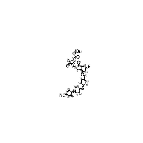 CC(C)(C)OC(=O)CCC(/C=[N+]1/Cc2c(OCc3ccc(SC4CCN(c5ccc(C#N)cc5F)CC4)nc3)cc(F)cc2C1=O)C(N)=O